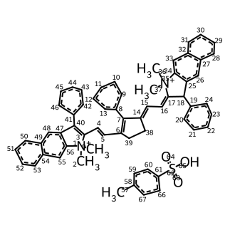 C[N+]1(C)C(C=CC2=C(c3ccccc3)C(=CC=C3C(c4ccccc4)c4cc5ccccc5cc4[N+]3(C)C)CC2)=C(c2ccccc2)c2cc3ccccc3cc21.Cc1ccc(S(=O)(=O)O)cc1